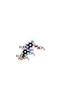 COCCOc1cc2c(N[C@H](C)c3cccc(C(F)(F)C(C)(C)O)c3F)nc(C)nc2cc1Br